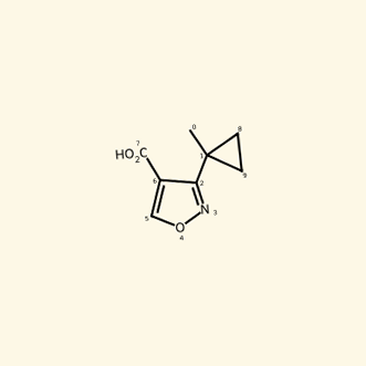 CC1(c2nocc2C(=O)O)CC1